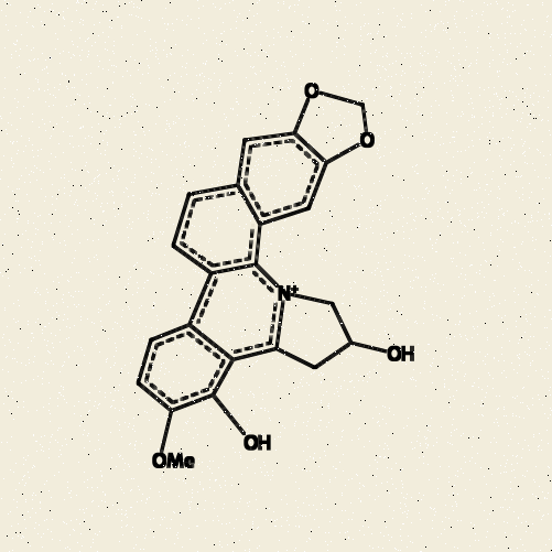 COc1ccc2c(c1O)c1[n+](c3c4cc5c(cc4ccc23)OCO5)CC(O)C1